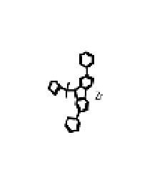 CC(C)(C1=CC=CC1)C1c2cc(-c3ccccc3)ccc2-c2ccc(-c3ccccc3)cc21.[Zr]